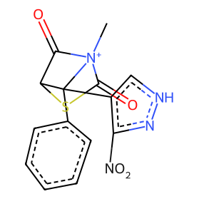 C[N+]12C(=O)SC(C1=O)C2(c1ccccc1)c1c[nH]nc1[N+](=O)[O-]